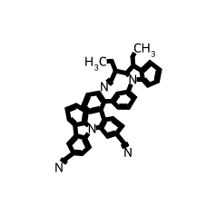 CCC(C#N)C1C(CC)c2ccccc2N1c1cccc(-c2ccccc2-c2ccc(C#N)cc2-n2c3ccccc3c3cc(C#N)ccc32)c1